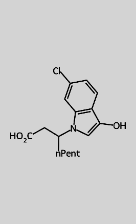 CCCCCC(CC(=O)O)n1cc(O)c2ccc(Cl)cc21